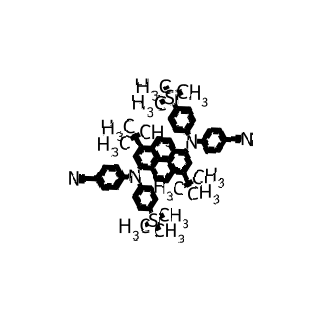 CC(C)(C)c1cc(N(c2ccc(C#N)cc2)c2ccc([Si](C)(C)C)cc2)c2ccc3c(C(C)(C)C)cc(N(c4ccc(C#N)cc4)c4ccc([Si](C)(C)C)cc4)c4ccc1c2c43